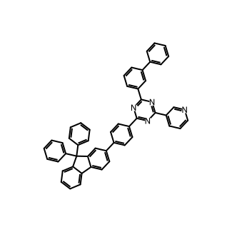 c1ccc(-c2cccc(-c3nc(-c4ccc(-c5ccc6c(c5)C(c5ccccc5)(c5ccccc5)c5ccccc5-6)cc4)nc(-c4cccnc4)n3)c2)cc1